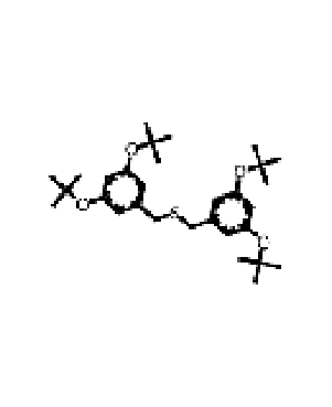 CC(C)(C)Oc1cc(CSCc2cc(OC(C)(C)C)cc(OC(C)(C)C)c2)cc(OC(C)(C)C)c1